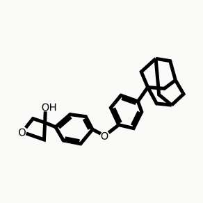 OC1(c2ccc(Oc3ccc(C45CC6CC(CC(C6)C4)C5)cc3)cc2)COC1